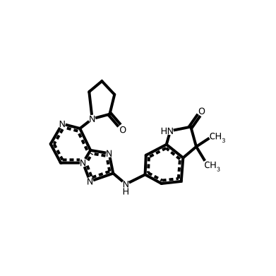 CC1(C)C(=O)Nc2cc(Nc3nc4c(N5CCCC5=O)nccn4n3)ccc21